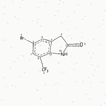 O=C1Cc2cc(Br)cc(C(F)(F)F)c2N1